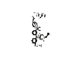 CCOC(=O)CCCN1CCN(C(=O)c2cccc(C(c3cccc(O)c3)N3C[C@@H](C)N(CC4CC4)C[C@H]3C)c2)CC1